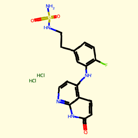 Cl.Cl.NS(=O)(=O)NCCc1ccc(F)c(Nc2ccnc3[nH]c(=O)ccc23)c1